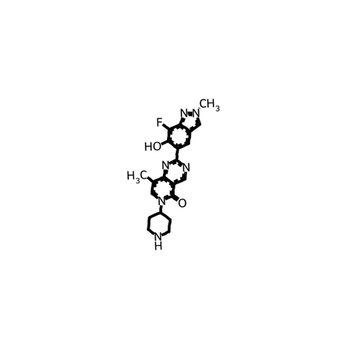 Cc1cn(C2CCNCC2)c(=O)c2cnc(-c3cc4cn(C)nc4c(F)c3O)nc12